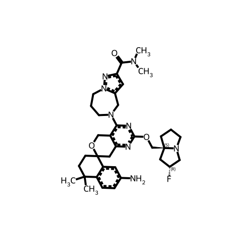 CN(C)C(=O)c1cc2n(n1)CCCN(c1nc(OC[C@@]34CCCN3C[C@H](F)C4)nc3c1COC1(CCC(C)(C)c4ccc(N)cc41)C3)C2